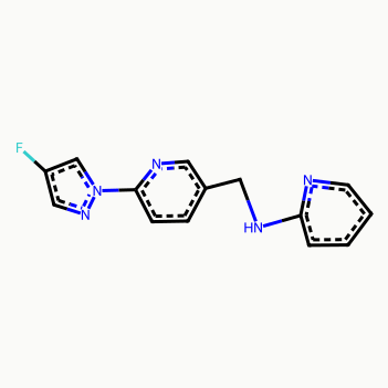 Fc1cnn(-c2ccc(CNc3ccccn3)cn2)c1